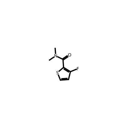 CN(C)C(=O)c1sccc1F